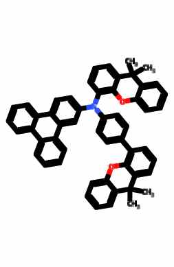 CC1(C)c2ccccc2Oc2c(-c3ccc(N(c4ccc5c6ccccc6c6ccccc6c5c4)c4cccc5c4Oc4ccccc4C5(C)C)cc3)cccc21